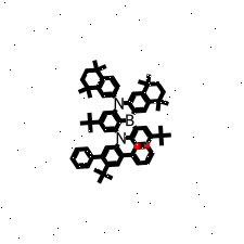 CC(C)(C)c1ccc2c(c1)B1c3cc4c(cc3N(c3ccc5c(c3)C(C)(C)CCC5(C)C)c3cc(C(C)(C)C)cc(c31)N2c1cc(-c2ccccc2)c(C(C)(C)C)cc1-c1ccccc1)C(C)(C)CCC4(C)C